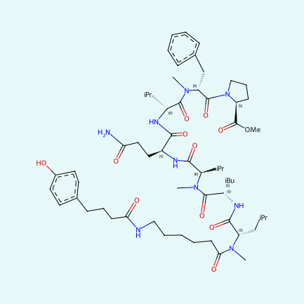 CC[C@H](C)[C@H](NC(=O)[C@H](CC(C)C)N(C)C(=O)CCCCCNC(=O)CCCc1ccc(O)cc1)C(=O)N(C)[C@@H](C(=O)N[C@@H](CCC(N)=O)C(=O)N[C@@H](C(=O)N(C)[C@H](Cc1ccccc1)C(=O)N1CCC[C@H]1C(=O)OC)C(C)C)C(C)C